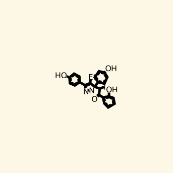 CCC1=C(c2ccc(O)cc2)N=NC1(c1ccc(O)cc1)C(I)C(=O)c1ccccc1O